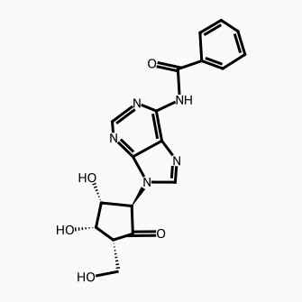 O=C(Nc1ncnc2c1ncn2[C@H]1C(=O)[C@H](CO)[C@H](O)[C@@H]1O)c1ccccc1